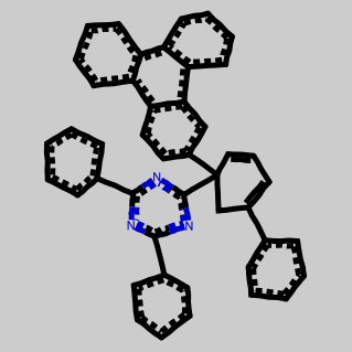 C1=CC(c2ccc3c4ccccc4c4ccccc4c3c2)(c2nc(-c3ccccc3)nc(-c3ccccc3)n2)CC(c2ccccc2)=C1